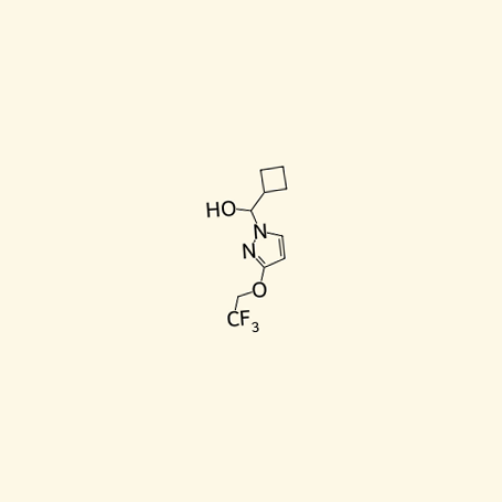 OC(C1CCC1)n1ccc(OCC(F)(F)F)n1